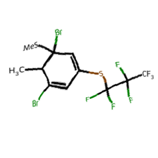 CSC1(Br)C=C(SC(F)(F)C(F)(F)C(F)(F)F)C=C(Br)[C]1C